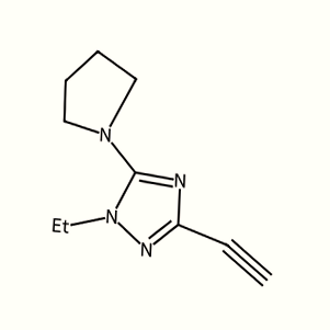 C#Cc1nc(N2CCCC2)n(CC)n1